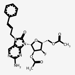 CC(=O)OC[C@H]1O[C@@H](n2c(=O)n(C/C=C/c3ccccc3)c3cnc(N)nc32)[C@H](OC(C)=O)[C@@H]1F